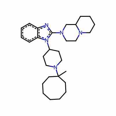 CC1(N2CCC(n3c(N4CCN5CCCCC5C4)nc4ccccc43)CC2)CCCCCCC1